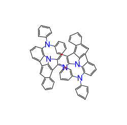 c1ccc(N(c2ccccc2)c2cccc3c4cc5ccccc5c5c6nc7c(cc6n(c23)c45)c2c3ccccc3cc3c4cccc(N(c5ccccc5)c5ccccc5)c4n7c32)cc1